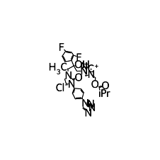 CC(C)C(=O)OCN1[C+]=NN(C[C@@](O)(c2ccc(F)cc2F)[C@@H](C)N2CCN(c3ccc(-n4cnnn4)cc3)C2=O)C1.[Cl-]